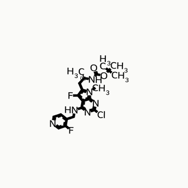 C[C@@H](Cc1c(F)c2c(NCc3ccncc3F)nc(Cl)nc2n1C)NC(=O)OC(C)(C)C